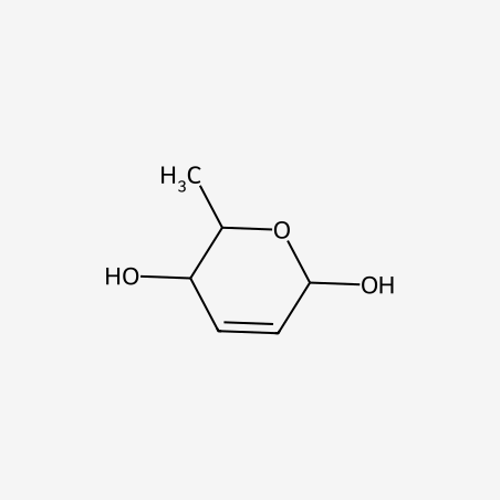 CC1OC(O)C=CC1O